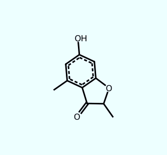 Cc1cc(O)cc2c1C(=O)C(C)O2